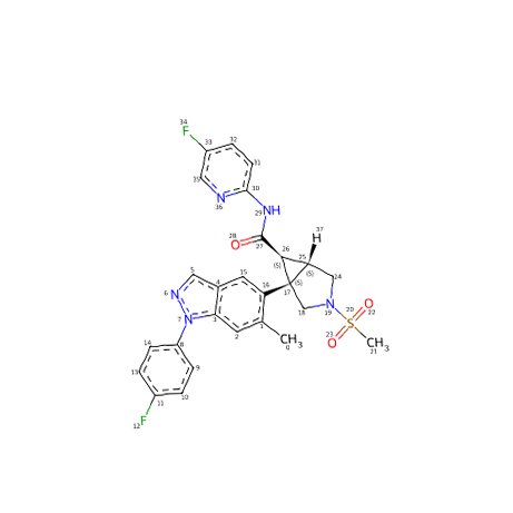 Cc1cc2c(cnn2-c2ccc(F)cc2)cc1[C@]12CN(S(C)(=O)=O)C[C@H]1[C@@H]2C(=O)Nc1ccc(F)cn1